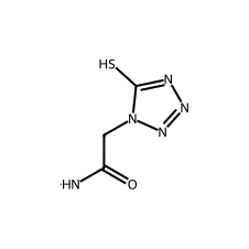 [NH]C(=O)Cn1nnnc1S